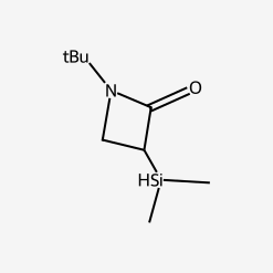 C[SiH](C)C1CN(C(C)(C)C)C1=O